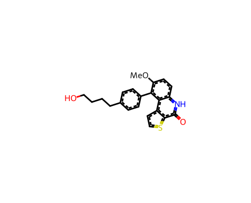 COc1ccc2[nH]c(=O)c3sccc3c2c1-c1ccc(CCCCO)cc1